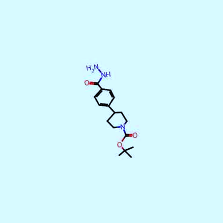 CC(C)(C)OC(=O)N1CCC(c2ccc(C(=O)NN)cc2)CC1